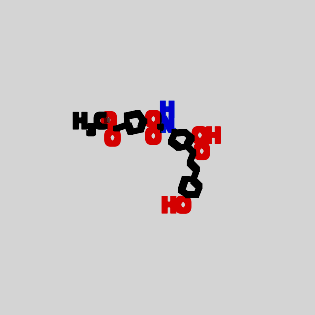 COC(=O)c1ccc(OC(=O)Nc2ccc(C(=O)C=Cc3ccc(O)cc3)c(O)c2)cc1